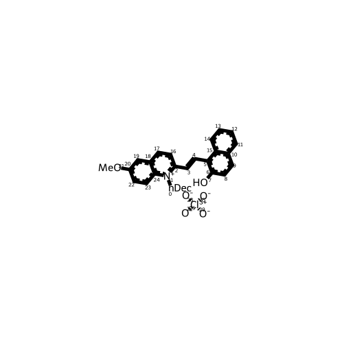 CCCCCCCCCC[n+]1c(/C=C/c2c(O)ccc3ccccc23)ccc2cc(OC)ccc21.[O-][Cl+3]([O-])([O-])[O-]